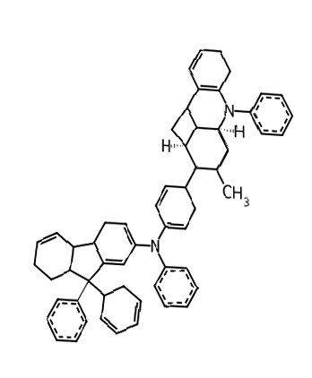 CC1C[C@H]2C3C(C[C@@H]3C1C1C=CC(N(C3=CCC4C(=C3)C(c3ccccc3)(C3C=CC=CC3)C3CCC=CC43)c3ccccc3)=CC1)C1=C(CCC=C1)N2c1ccccc1